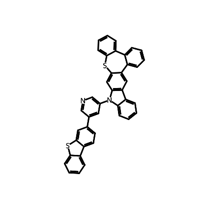 c1ccc2c(c1)Sc1cc3c(cc1-c1ccccc1-2)c1ccccc1n3-c1cncc(-c2ccc3c(c2)sc2ccccc23)c1